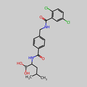 CC(C)CC(NC(=O)c1ccc(CNC(=O)c2cc(Cl)ccc2Cl)cc1)B(O)O